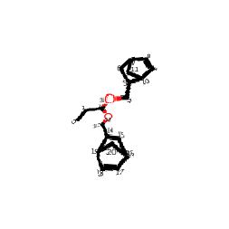 CCC(OCC1CC2C=CC1C2)OCC1CC2C=CC1C2